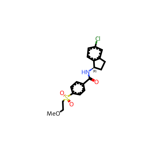 COCCS(=O)(=O)c1ccc(C(=O)N[C@@H]2CCc3cc(Cl)ccc32)cc1